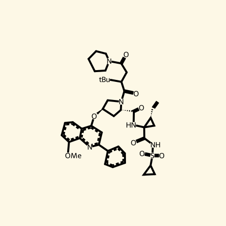 C=C[C@@H]1CC1(NC(=O)[C@@H]1C[C@@H](Oc2cc(-c3ccccc3)nc3c(OC)cccc23)CN1C(=O)C(CC(=O)N1CCCCC1)C(C)(C)C)C(=O)NS(=O)(=O)C1CC1